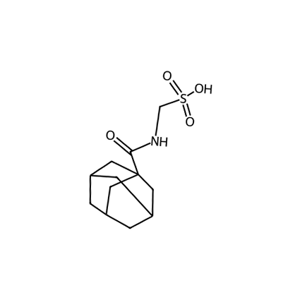 O=C(NCS(=O)(=O)O)C12CC3CC(CC(C3)C1)C2